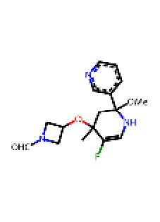 COC1(c2cccnc2)CC(C)(OC2CN(C=O)C2)C(F)=CN1